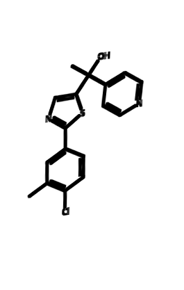 Cc1cc(-c2ncc(C(C)(O)c3ccncc3)s2)ccc1Cl